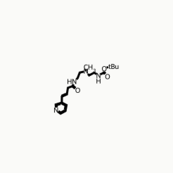 CN(CCNC(=O)CC=Cc1cccnc1)CCNC(=O)OC(C)(C)C